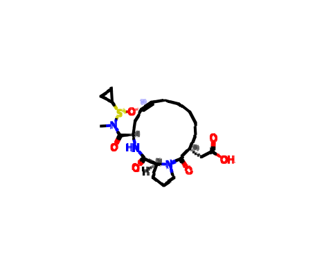 CN(C(=O)[C@H]1C/C=C\CCCCC[C@H](CC(=O)O)C(=O)N2CCC[C@H]2C(=O)N1)[S+]([O-])C1CC1